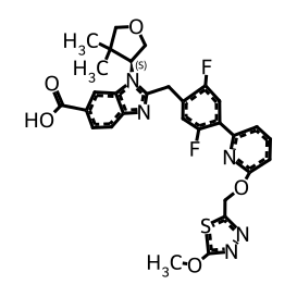 COc1nnc(COc2cccc(-c3cc(F)c(Cc4nc5ccc(C(=O)O)cc5n4[C@@H]4COCC4(C)C)cc3F)n2)s1